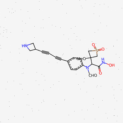 COC1(C(C(=O)NO)N(C=O)c2ccc(C#CC#CC3CNC3)cc2)CS(=O)(=O)C1